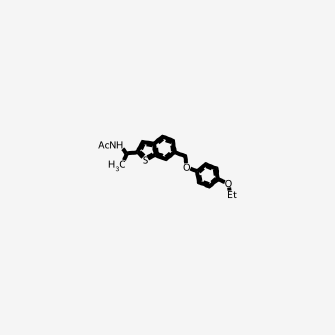 CCOc1ccc(OCc2ccc3cc(C(C)NC(C)=O)sc3c2)cc1